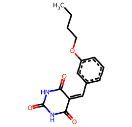 CCCCOc1cccc(C=C2C(=O)NC(=O)NC2=O)c1